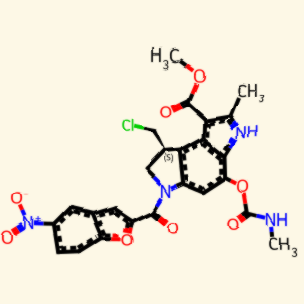 CNC(=O)Oc1cc2c(c3c(C(=O)OC)c(C)[nH]c13)[C@H](CCl)CN2C(=O)c1cc2cc([N+](=O)[O-])ccc2o1